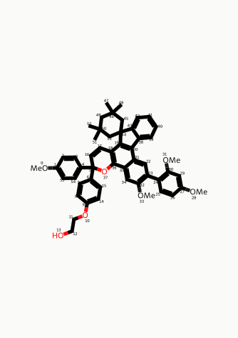 COc1ccc(C2(c3ccc(OCCO)cc3)C=Cc3c4c(c5cc(-c6ccc(OC)cc6OC)c(OC)cc5c3O2)-c2ccccc2C42CC(C)(C)CC(C)(C)C2)cc1